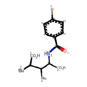 CC(C)(C)C(C(=O)O)C(C(NC(=O)c1ccc(Br)cc1)C(=O)O)C(C)(C)C